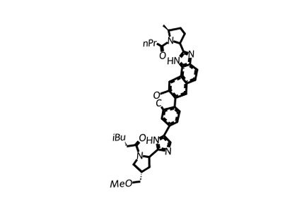 CCCC(=O)N1C(c2nc3ccc4cc5c(cc4c3[nH]2)OCc2cc(-c3cnc(C4C[C@H](COC)CN4C(=O)C[C@@H](C)CC)[nH]3)ccc2-5)CC[C@@H]1C